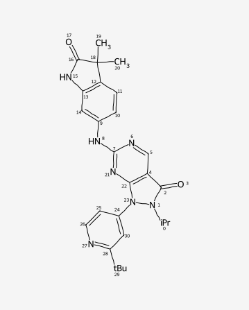 CC(C)n1c(=O)c2cnc(Nc3ccc4c(c3)NC(=O)C4(C)C)nc2n1-c1ccnc(C(C)(C)C)c1